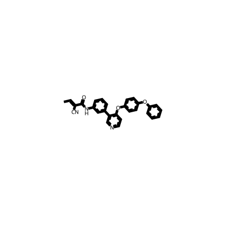 C/C=C(\C#N)C(=O)Nc1cccc(-c2cnccc2Oc2ccc(Oc3ccccc3)cc2)c1